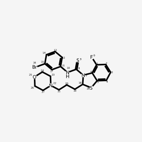 Fc1cccc2c1N(C(=S)Nc1cccc(Br)c1)C(CCCN1CCOCC1)S2